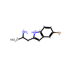 NC(Cc1cc2cc(Br)ccc2[nH]1)C(=O)O